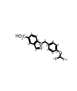 O=C(O)c1ccc2c(cnn2Cc2ccc(OC(F)F)cc2)c1